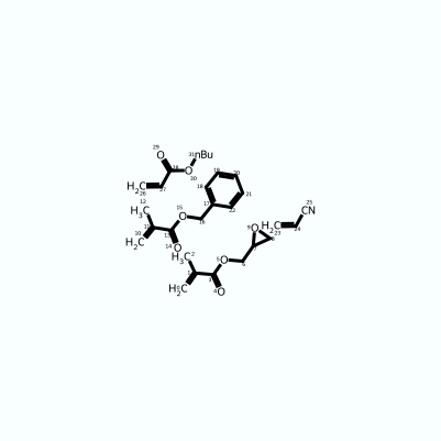 C=C(C)C(=O)OCC1CO1.C=C(C)C(=O)OCc1ccccc1.C=CC#N.C=CC(=O)OCCCC